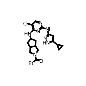 CCC(=O)N1CC2CC(Nc3nc(Nc4cc(C5CC5)[nH]n4)ncc3Cl)CC2C1